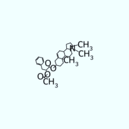 CC(=O)OC(Cc1ccccc1)C(=O)OC1CCC2(C)C(=CCC3C2CCC24CN(C)C(C)C2CCC34)C1